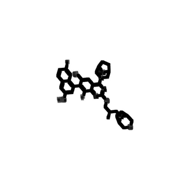 C[C@@H](COc1nc(N2CC3CCC(C2)N3)c2cc(Cl)c(-c3cc(O)cc4ccc(F)cc34)c(F)c2n1)CN1C2CCC1COC2